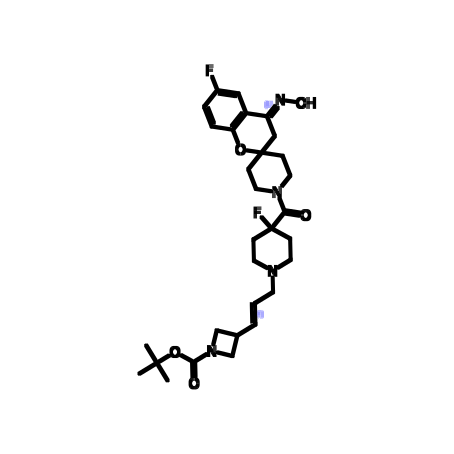 CC(C)(C)OC(=O)N1CC(/C=C/CN2CCC(F)(C(=O)N3CCC4(CC3)C/C(=N\O)c3cc(F)ccc3O4)CC2)C1